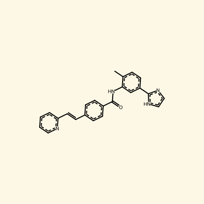 Cc1ccc(-c2ncc[nH]2)cc1NC(=O)c1ccc(C=Cc2ccccn2)cc1